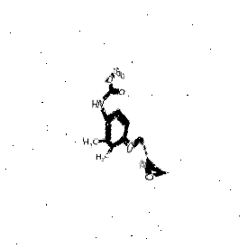 Cc1c(NC(=O)OC(C)(C)C)ccc(OC[C@@H]2CO2)c1C